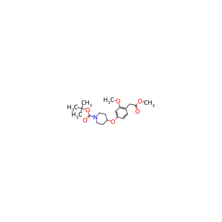 COC(=O)Cc1ccc(OC2CCN(C(=O)OC(C)(C)C)CC2)cc1OC